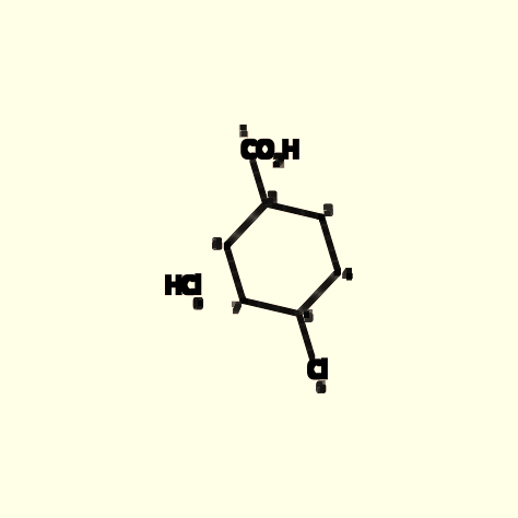 Cl.O=C(O)C1CCC(Cl)CC1